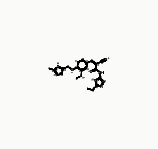 CCc1nnc(NC(=O)C(C#N)=Cc2ccc(OCc3csc(C)n3)c(OC)c2)s1